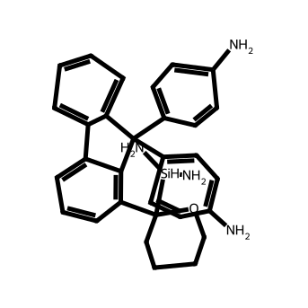 Nc1ccc(C2(c3ccc(N)cc3)c3ccccc3-c3cccc(C4([SiH](N)N)CCCCO4)c32)cc1